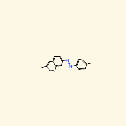 Cc1ccc(N=Nc2ccc3cc(C)ccc3c2)cc1